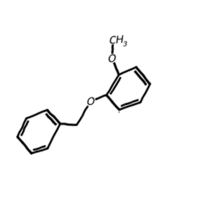 COc1ccc[c]c1OCc1ccccc1